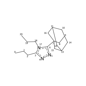 CCCc1nnc(C23CC4CC(CC(C4)C2)C3)n1CCC